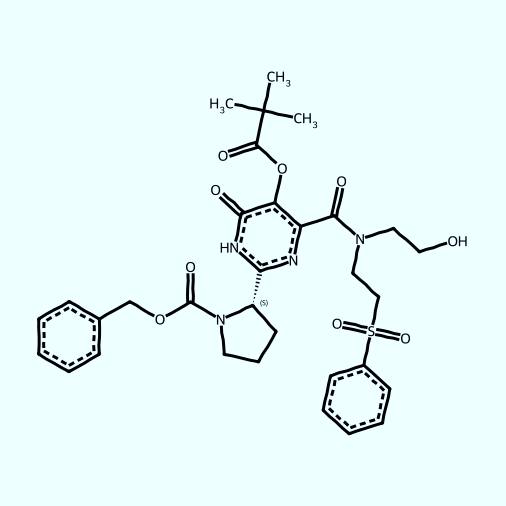 CC(C)(C)C(=O)Oc1c(C(=O)N(CCO)CCS(=O)(=O)c2ccccc2)nc([C@@H]2CCCN2C(=O)OCc2ccccc2)[nH]c1=O